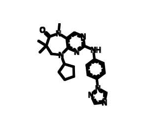 CN1C(=O)C(C)(C)CN(C2CCCC2)c2nc(Nc3ccc(-n4cncn4)cc3)ncc21